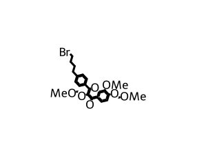 COCOc1ccc2c(=O)c(OCOC)c(-c3ccc(CCCCBr)cc3)oc2c1OC